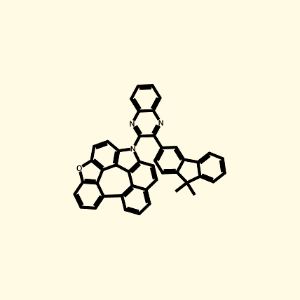 CC1(C)c2ccccc2-c2cc(-c3nc4ccccc4nc3-n3c4ccc5cccc6c5c4c4c5c(ccc43)oc3cccc-6c35)ccc21